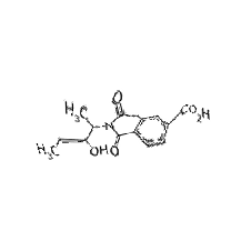 CC=C(O)C(C)N1C(=O)c2ccc(C(=O)O)cc2C1=O